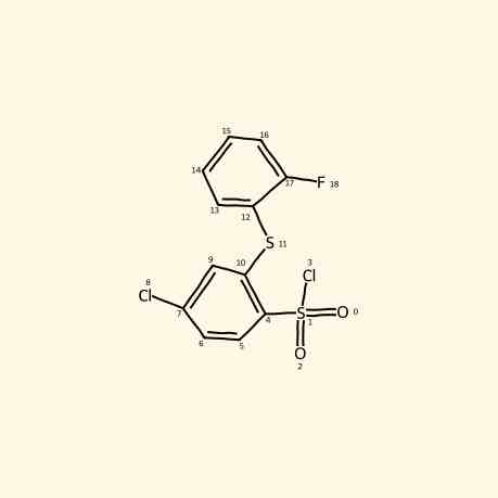 O=S(=O)(Cl)c1ccc(Cl)cc1Sc1ccccc1F